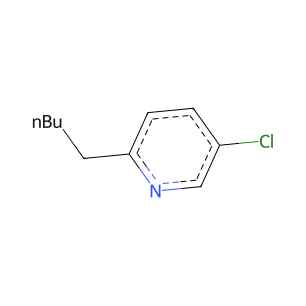 CCCCCc1ccc(Cl)cn1